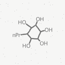 CCCC1C(O)C(O)C(O)C(O)C1O